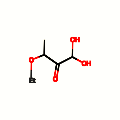 CCOC(C)C(=O)C(O)O